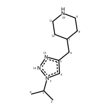 CC(C)n1cc(CC2CCNCC2)nn1